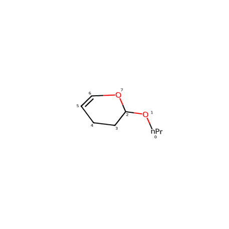 CCCOC1CCC=CO1